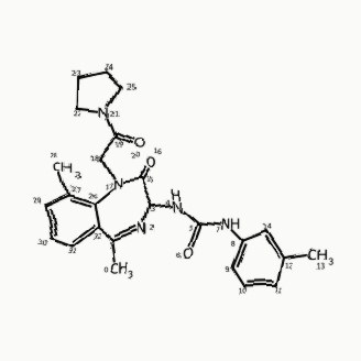 CC1=NC(NC(=O)Nc2cccc(C)c2)C(=O)N(CC(=O)N2CCCC2)c2c(C)cccc21